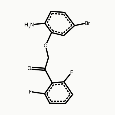 Nc1ccc(Br)cc1OCC(=O)c1c(F)cccc1F